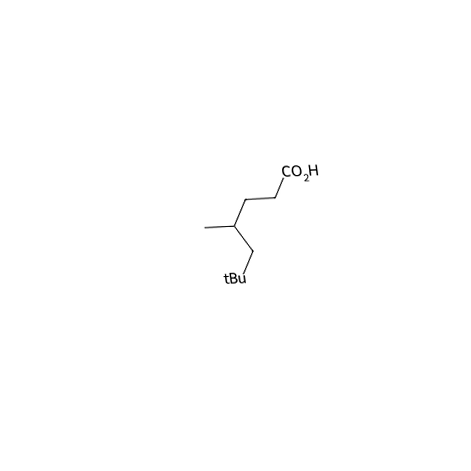 CC(CCC(=O)O)CC(C)(C)C